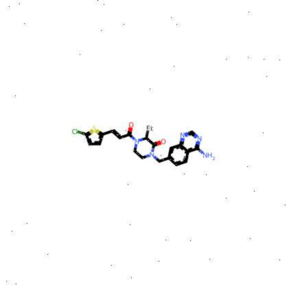 CCC1C(=O)N(Cc2ccc3c(N)ncnc3c2)CCN1C(=O)/C=C/c1ccc(Cl)s1